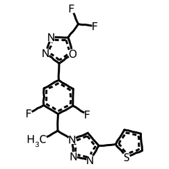 CC(c1c(F)cc(-c2nnc(C(F)F)o2)cc1F)n1cc(-c2cccs2)nn1